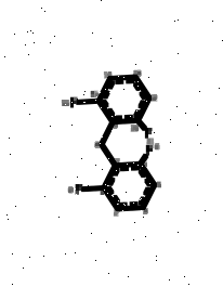 Fc1cccc(F)c1Cc1c(F)cccc1F